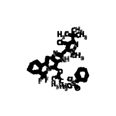 CC(C)Oc1nc(-c2ccccc2C(F)(F)F)cc2nc(-c3c(Cl)c(C(C)(C)C)nn3C)[nH]c12.O=S(=O)(O)c1ccccc1